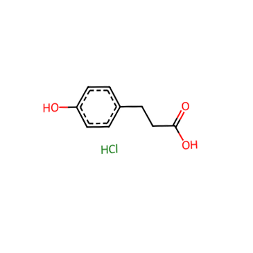 Cl.O=C(O)CCc1ccc(O)cc1